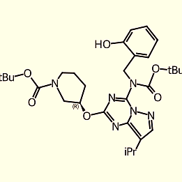 CC(C)c1cnn2c(N(Cc3ccccc3O)C(=O)OC(C)(C)C)nc(O[C@@H]3CCCN(C(=O)OC(C)(C)C)C3)nc12